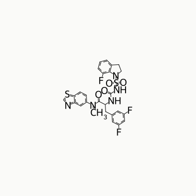 CN(C(=O)C(Cc1cc(F)cc(F)c1)NC(=O)NS(=O)(=O)N1CCc2cccc(F)c21)c1ccc2scnc2c1